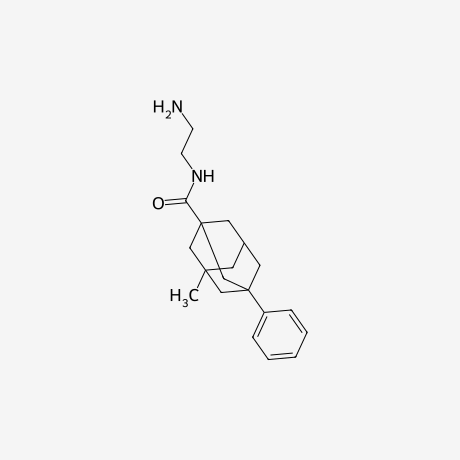 CC12CC3CC(C(=O)NCCN)(C1)CC(c1ccccc1)(C3)C2